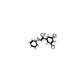 FC(F)(F)/C(=C\SC1C=CC=CC1)c1cc(Cl)cc(Cl)c1